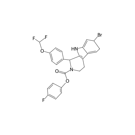 O=C(Oc1ccc(F)cc1)N1CCc2c([nH]c3c2=CCC(Br)C=3)C1c1ccc(OC(F)F)cc1